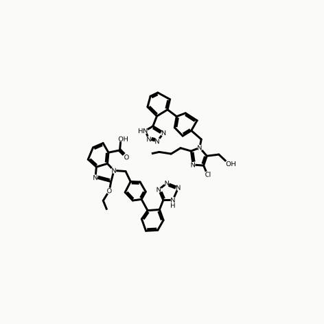 CCCCc1nc(Cl)c(CO)n1Cc1ccc(-c2ccccc2-c2nnn[nH]2)cc1.CCOc1nc2cccc(C(=O)O)c2n1Cc1ccc(-c2ccccc2-c2nnn[nH]2)cc1